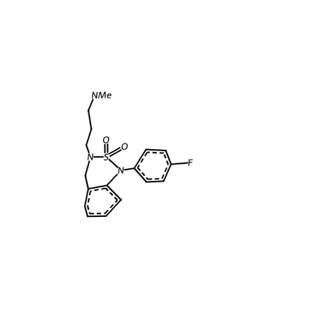 CNCCCN1Cc2ccccc2N(c2ccc(F)cc2)S1(=O)=O